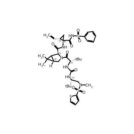 C=C[C@@H]1C[C@]1(NC(=O)[C@@H]1C2[C@H](CN1C(=O)[C@@H](NC(=O)N[C@H](CN(C)S(=O)(=O)c1cccs1)C(C)(C)C)C(C)(C)C)C2(C)C)C(=O)NS(=O)(=O)c1ccccc1